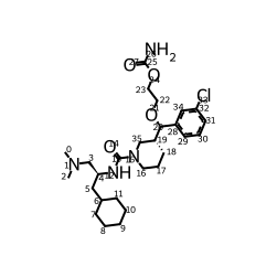 CN(C)C[C@H](CC1CCCCC1)NC(=O)N1CCC[C@@H]([C@@H](OCCOC(N)=O)c2cccc(Cl)c2)C1